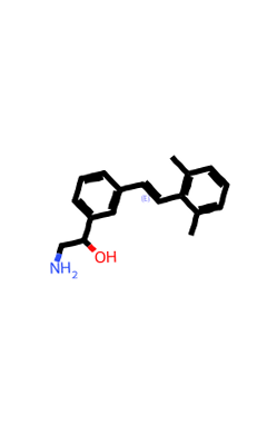 Cc1cccc(C)c1/C=C/c1cccc(C(O)CN)c1